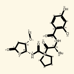 CCO[C@H]1CC(=O)O[C@H]1NC(=O)[N+]1(C(=O)[C@@H](NC(=O)c2ccc(O)cc2Cl)C(C)(C)C)CCCC1